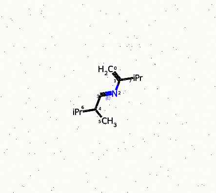 C=C(/N=C/C(C)C(C)C)C(C)C